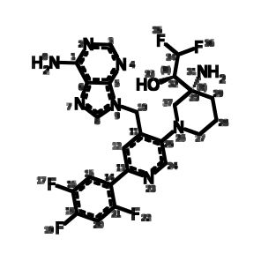 Nc1ncnc2c1ncn2Cc1cc(-c2cc(F)c(F)cc2F)ncc1N1CCC[C@](N)([C@@H](O)C(F)F)C1